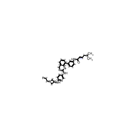 CN(C)C/C=C/C(=O)Nc1cccc(-c2cccc3cnc(Nc4ccc(NC5CN(CCF)C5)nc4)nc23)c1